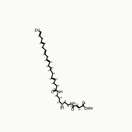 CCC=CCC=CCC=CCC=CCC=CCC=CCCC(=O)NCCCN(CC)CCNC(=O)C=CC(=O)OC